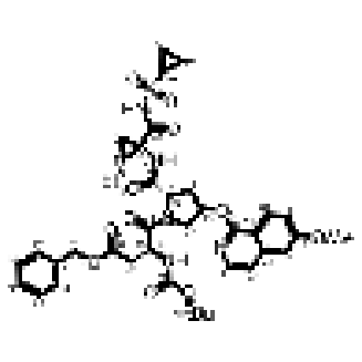 CC[C@@H]1C[C@]1(NC(=O)[C@@H]1C[C@@H](Oc2nccc3cc(OC)ccc23)CN1C(=O)[C@H](CC(=O)OCc1ccccc1)NC(=O)OC(C)(C)C)C(=O)NS(=O)(=O)C1CC1